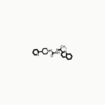 C/C(=N/NC(=O)SN1CCC(c2ccccn2)CC1)c1ccc2ccccc2n1